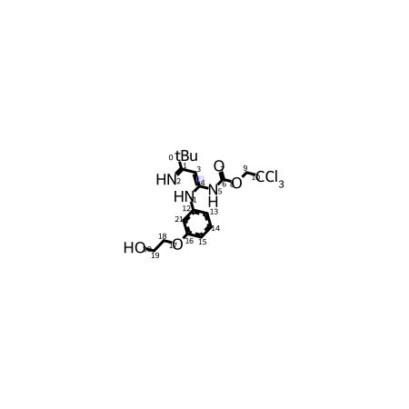 CC(C)(C)C(=N)/C=C(/NC(=O)OCC(Cl)(Cl)Cl)Nc1cccc(OCCO)c1